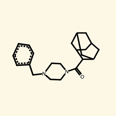 O=C(C1C2CC3CC(C2)CC1C3)N1CCN(Cc2ccccc2)CC1